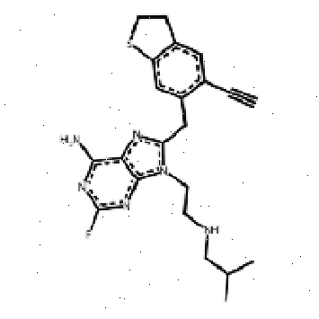 C#Cc1cc2c(cc1Cc1nc3c(N)nc(F)nc3n1CCNCC(C)C)SCC2